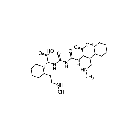 CNCCC1CCCC[C@@H]1C(NC(=O)BC(=O)NC(C(=O)O)C(CNC)C1CCCCC1)C(=O)O